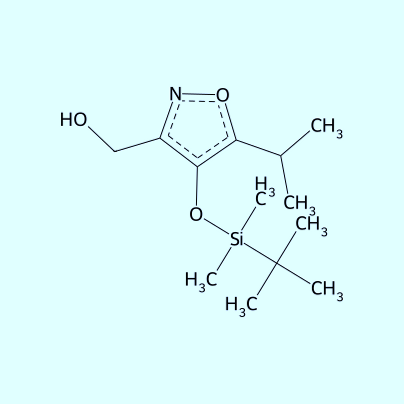 CC(C)c1onc(CO)c1O[Si](C)(C)C(C)(C)C